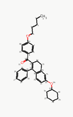 CCCCCOc1ccc(C(=O)C2=C(c3ccccc3)c3ccc(OC4CCCCC4)cc3CC2)cc1